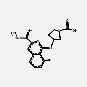 N=C(NN)c1cc2cccc(Cl)c2c(OC2CCN(C(=O)O)C2)n1